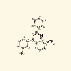 FC(F)(F)c1cccc2c(-c3cccc(Br)c3)nc(-c3ccccc3)nc12